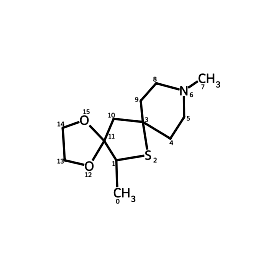 CC1SC2(CCN(C)CC2)CC12OCCO2